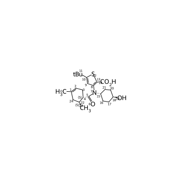 CC1=CC[C@H](C(=O)N(c2cc(C(C)(C)C)sc2C(=O)O)[C@H]2CC[C@H](O)CC2)[C@@H](C)C1